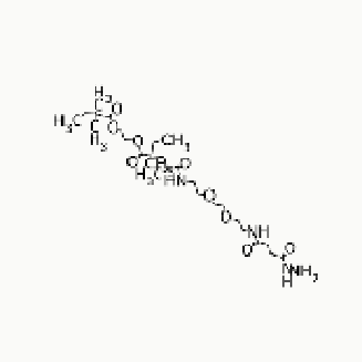 CCC(C)(C)C(=O)OCCOC(=O)C(C)(CC)CC(C)C(=O)NCCOCCOCCNC(=O)CCC(=O)NN